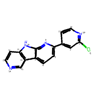 Clc1cc(-c2ccc3c(n2)[nH]c2ccncc23)ccn1